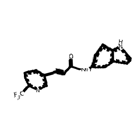 O=C(/C=C/c1ccc(C(F)(F)F)nc1)Nc1ccc2[nH]ccc2c1